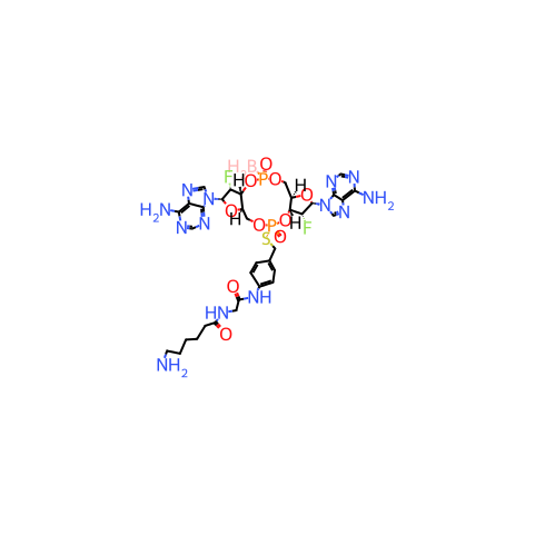 BP1(=O)OC[C@H]2O[C@@H](n3cnc4c(N)ncnc43)[C@H](F)[C@@H]2O[P@](=O)(SCc2ccc(NC(=O)CNC(=O)CCCCCN)cc2)OC[C@H]2O[C@@H](n3cnc4c(N)ncnc43)[C@H](F)[C@@H]2O1